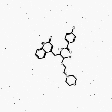 O=C(NC(Cc1cc(=O)[nH]c2ccccc12)C(O)SCCN1CCOCC1)c1ccc(Cl)cc1